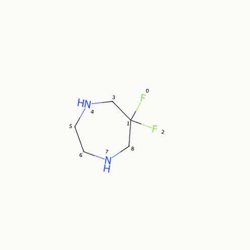 FC1(F)CNCCNC1